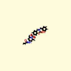 C=CC(=O)NC1CC(C)N(S(=O)(=O)c2ccc(CN(Cc3ccccc3)C(=O)O)cc2)C(C)C1